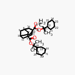 CC(C)(OC(=O)C12CC3CC(C1)CC(C(=O)OC(C)(C)C1CCCCC1)(C3)C2)C1CCCCC1